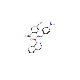 CC(C)COc1ccc(Br)cc1N(Cc1ccc(N(C)C)cc1)C(=O)C1CCCc2ccccc21